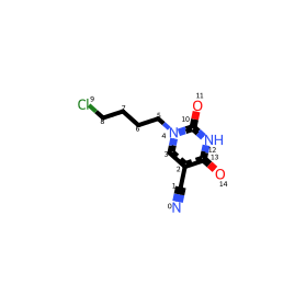 N#Cc1cn(CCCCCl)c(=O)[nH]c1=O